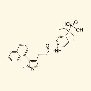 CCC(CC)(c1ccc(NC(=O)C=Cc2cnn(C)c2-c2cccc3ccccc23)cc1)P(=O)(O)O